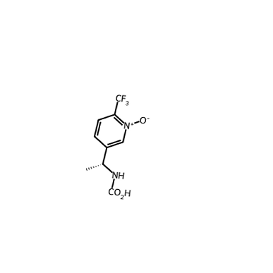 C[C@@H](NC(=O)O)c1ccc(C(F)(F)F)[n+]([O-])c1